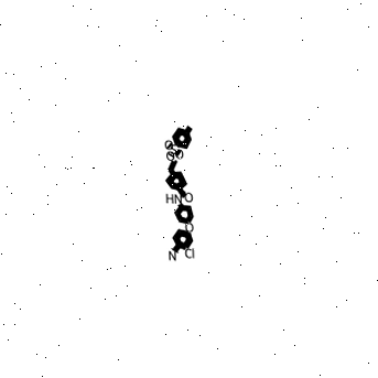 Cc1ccc(S(=O)(=O)OCCc2ccc(C(=O)NC3CCC(Oc4ccc(C#N)c(Cl)c4)CC3)cc2)cc1